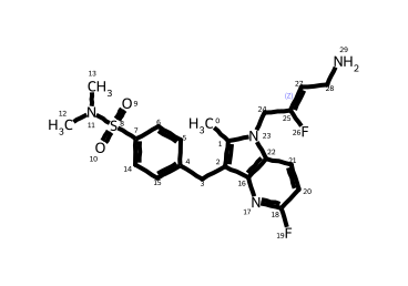 Cc1c(Cc2ccc(S(=O)(=O)N(C)C)cc2)c2nc(F)ccc2n1C/C(F)=C/CN